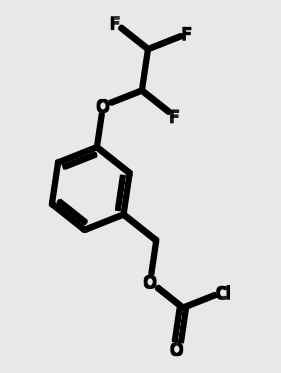 O=C(Cl)OCc1cccc(OC(F)C(F)F)c1